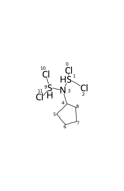 Cl[SH](Cl)N(C1CCCC1)[SH](Cl)Cl